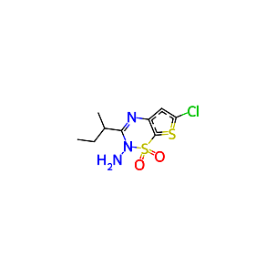 CCC(C)C1=Nc2cc(Cl)sc2S(=O)(=O)N1N